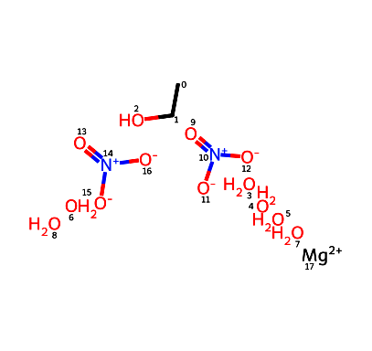 CCO.O.O.O.O.O.O.O=[N+]([O-])[O-].O=[N+]([O-])[O-].[Mg+2]